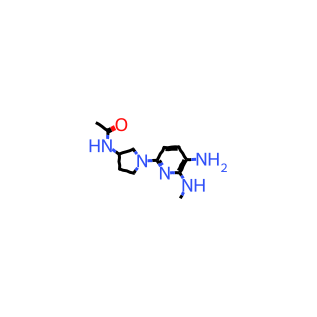 CNc1nc(N2CCC(NC(C)=O)C2)ccc1N